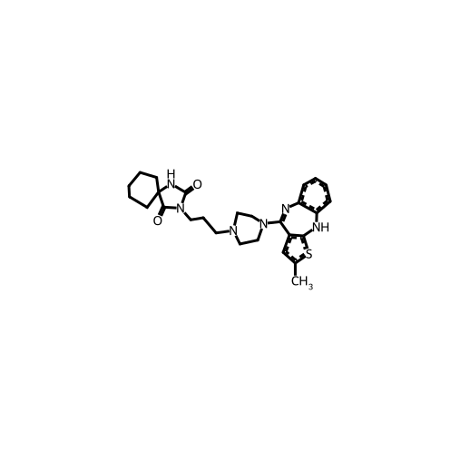 Cc1cc2c(s1)Nc1ccccc1N=C2N1CCN(CCCN2C(=O)NC3(CCCCC3)C2=O)CC1